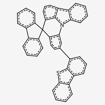 c1ccc2c(c1)-c1ccccc1C21c2ccc(-c3cccc4c3sc3ccccc34)cc2-n2c3ccccc3c3cccc1c32